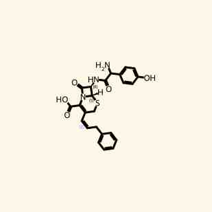 NC(C(=O)N[C@@H]1C(=O)N2C(C(=O)O)=C(/C=C\Cc3ccccc3)CS[C@@H]12)c1ccc(O)cc1